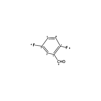 O=Cc1cc(F)c[c]c1F